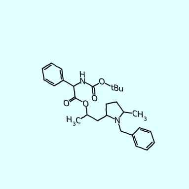 CC(CC1CCC(C)N1Cc1ccccc1)OC(=O)C(NC(=O)OC(C)(C)C)c1ccccc1